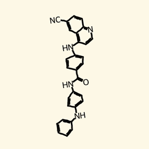 N#Cc1ccc2nccc(Nc3ccc(C(=O)Nc4ccc(Nc5ccccc5)cc4)cc3)c2c1